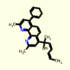 C/C=C\C=C/C(C)(CCC)c1cc(C)nc2c1ccc1c(C3=CCCC=C3)cc(C)nc12